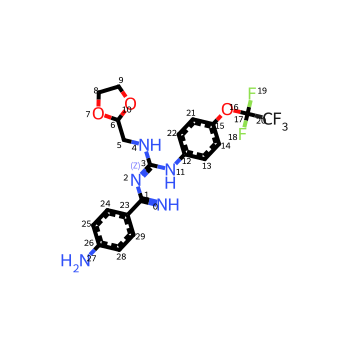 N=C(/N=C(/NCC1OCCO1)Nc1ccc(OC(F)(F)C(F)(F)F)cc1)c1ccc(N)cc1